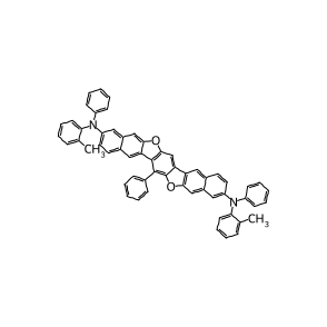 Cc1ccccc1N(c1ccccc1)c1ccc2cc3c(cc2c1)oc1c(-c2ccccc2)c2c(cc13)oc1cc3cc(N(c4ccccc4)c4ccccc4C)ccc3cc12